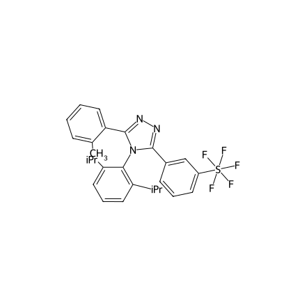 Cc1ccccc1-c1nnc(-c2cccc(S(F)(F)(F)(F)F)c2)n1-c1c(C(C)C)cccc1C(C)C